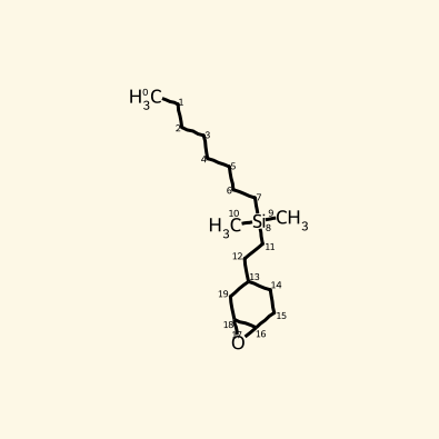 CCCCCCCC[Si](C)(C)CCC1CCC2OC2C1